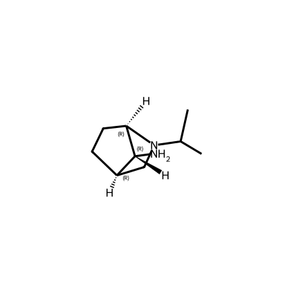 CC(C)N1C[C@H]2CC[C@@H]1[C@@H]2N